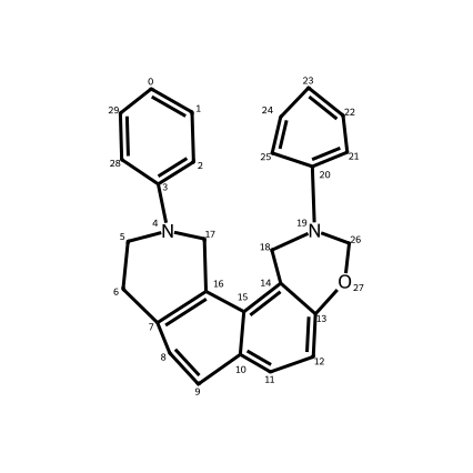 c1ccc(N2CCc3ccc4ccc5c(c4c3C2)CN(c2ccccc2)CO5)cc1